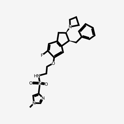 Cn1cnc(S(=O)(=O)NCCOc2cc3c(cc2F)C[C@@H](N2CCC2)[C@H]3Cc2ccccc2)c1